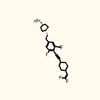 CCC[C@H]1CC[C@H](CCc2cc(F)c(C#CC3CCC(C=C(F)F)CC3)c(F)c2)CC1